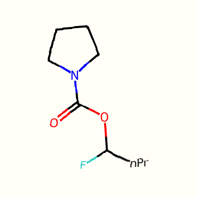 CCCC(F)OC(=O)N1CCCC1